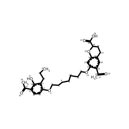 CCCc1c(OCCCCCCCOc2cc3c(cc2C(C)=O)CCC(C(=O)O)O3)ccc(C(C)=O)c1O